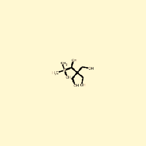 C[Si](C)(C)C(O)C(CO)(CO)CO